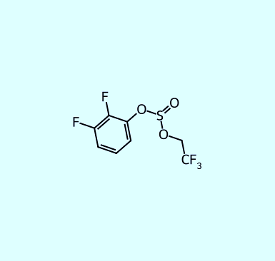 O=S(OCC(F)(F)F)Oc1cccc(F)c1F